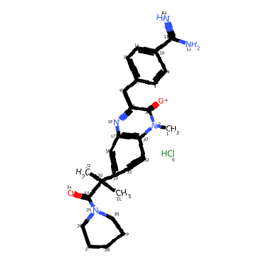 Cl.Cn1c(=O)c(Cc2ccc(C(=N)N)cc2)nc2cc(C(C)(C)C(=O)N3CCCCC3)ccc21